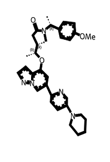 COc1ccc([C@@H](C)N2C[C@H]([C@@H](C)Oc3cc(-c4ccc(N5CCCCC5)cn4)cn4nccc34)CC2=O)cc1